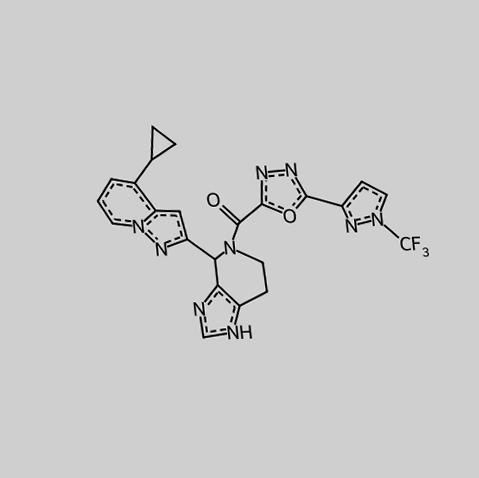 O=C(c1nnc(-c2ccn(C(F)(F)F)n2)o1)N1CCc2[nH]cnc2C1c1cc2c(C3CC3)cccn2n1